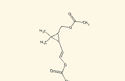 CC(=O)OC=CC1C(COC(C)=O)C1(C)C